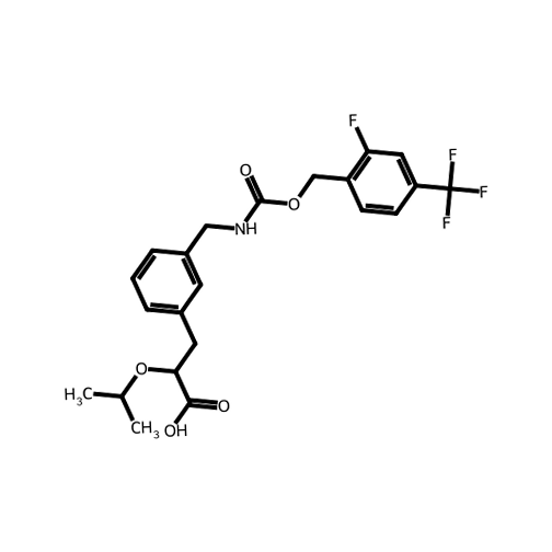 CC(C)OC(Cc1cccc(CNC(=O)OCc2ccc(C(F)(F)F)cc2F)c1)C(=O)O